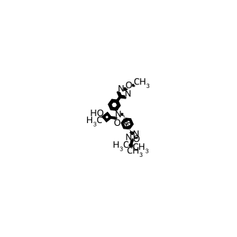 CCOc1ncc(-c2cccc(N(C[C@]34CC[C@](c5noc(C(C)(C)C)n5)(CC3)CC4)C(=O)C3CC(C)(O)C3)c2)cn1